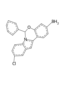 Bc1ccc2c(c1)OC(c1ccccc1)n1c-2cc2cc(Cl)ccc21